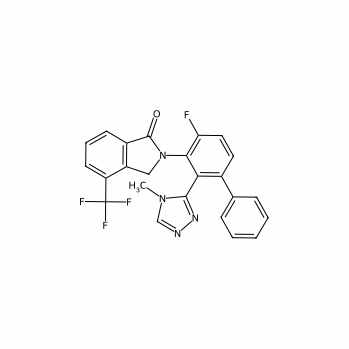 Cn1cnnc1-c1c(-c2ccccc2)ccc(F)c1N1Cc2c(cccc2C(F)(F)F)C1=O